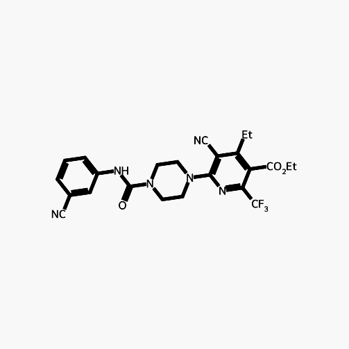 CCOC(=O)c1c(C(F)(F)F)nc(N2CCN(C(=O)Nc3cccc(C#N)c3)CC2)c(C#N)c1CC